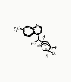 CC[C@H]1C[N@]2CC[C@H]1C[C@@H]2C(O)c1ccnc2cc(C(F)(F)F)ccc12